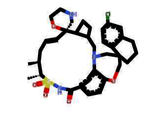 C[C@@H]1[C@@H](C)C/C=C/[C@]2(CNCCO2)C2CCC2CN2CC3(CCCc4cc(Cl)ccc43)COc3ccc(cc32)C(=O)NS1(=O)=O